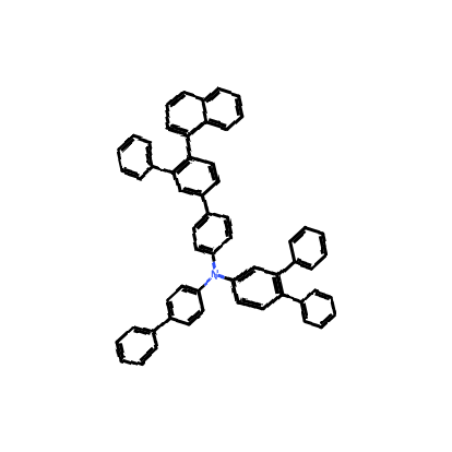 c1ccc(-c2ccc(N(c3ccc(-c4ccc(-c5cccc6ccccc56)c(-c5ccccc5)c4)cc3)c3ccc(-c4ccccc4)c(-c4ccccc4)c3)cc2)cc1